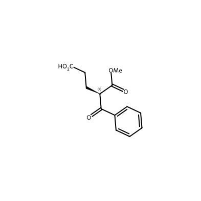 COC(=O)[C@H](CCC(=O)O)C(=O)c1ccccc1